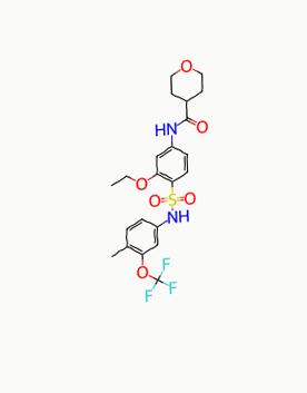 CCOc1cc(NC(=O)C2CCOCC2)ccc1S(=O)(=O)Nc1ccc(C)c(OC(F)(F)F)c1